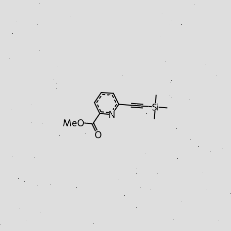 COC(=O)c1cccc(C#C[Si](C)(C)C)n1